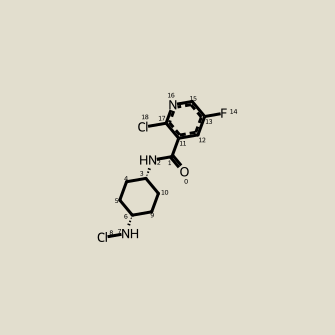 O=C(N[C@H]1CC[C@@H](NCl)CC1)c1cc(F)cnc1Cl